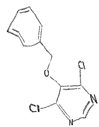 Clc1ncnc(Cl)c1OCc1ccccc1